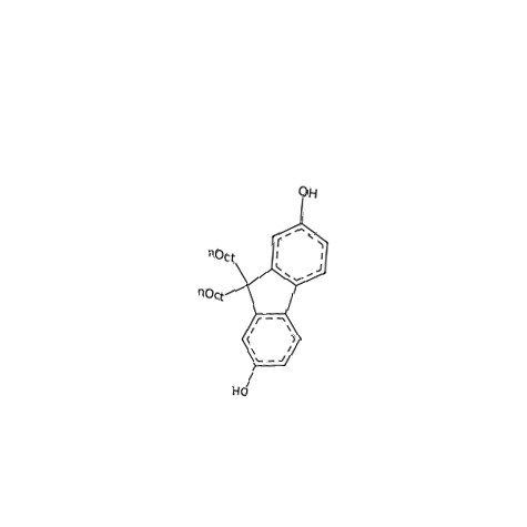 CCCCCCCCC1(CCCCCCCC)c2cc(O)ccc2-c2ccc(O)cc21